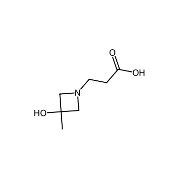 CC1(O)CN(CCC(=O)O)C1